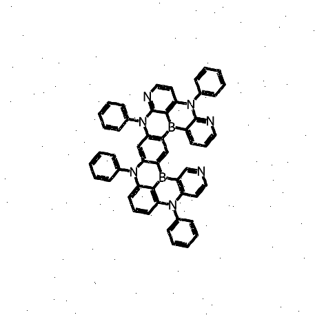 c1ccc(N2c3ccncc3B3c4cc5c(cc4N(c4ccccc4)c4cccc2c43)N(c2ccccc2)c2nccc3c2B5c2cccnc2N3c2ccccc2)cc1